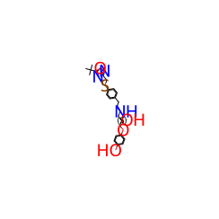 CC(C)(C)c1nc(CSc2ccc(CCNC[C@H](O)COc3ccc(O)cc3)cc2)no1